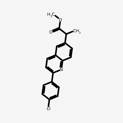 COC(=O)C(C)c1ccc2nc(-c3ccc(Cl)cc3)ccc2c1